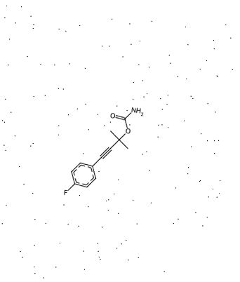 CC(C)(C#Cc1ccc(F)cc1)OC(N)=O